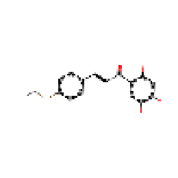 CCCCCCCCCCCSc1ccc(/C=C/C(=O)c2cc(O)c(O)cc2O)cc1